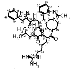 CC(=N)N1CCCN(C(=O)[C@@H](CCCCNC(=N)N)NC(=O)[C@@H](CC(C)C)NC(=O)[C@@H](Cc2ccccc2)NC(=O)[C@H](N)Cc2ccccc2)CC1